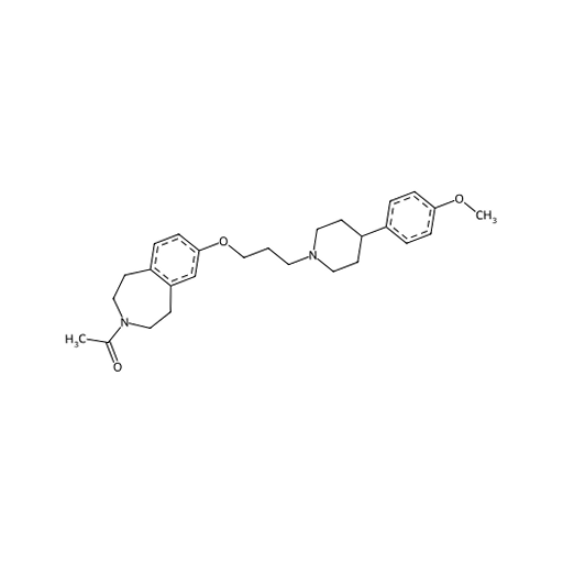 COc1ccc(C2CCN(CCCOc3ccc4c(c3)CCN(C(C)=O)CC4)CC2)cc1